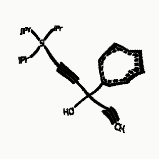 C#CC(O)(C#C[Si](C(C)C)(C(C)C)C(C)C)c1ccccc1